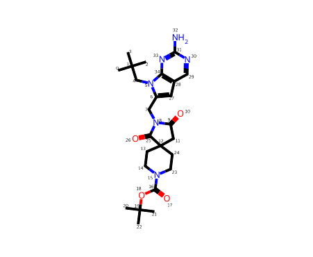 CC(C)(C)Cn1c(CN2C(=O)CC3(CCN(C(=O)OC(C)(C)C)CC3)C2=O)cc2cnc(N)nc21